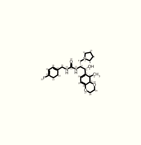 CC1C([C@@H](O)[C@@H](CN2CCCC2)NC(=O)NCC2=CC=C(F)CC2)=CC=C2OCCOC21